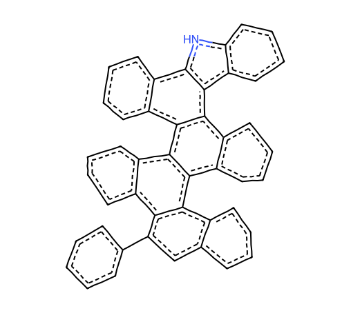 c1ccc(-c2cc3ccccc3c3c2c2ccccc2c2c3c3ccccc3c3c4c5ccccc5[nH]c4c4ccccc4c32)cc1